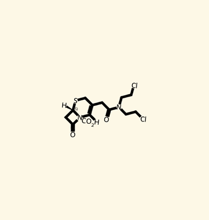 O=C(O)C1=C(CC(=O)N(CCCl)CCCl)CS[C@H]2CC(=O)N12